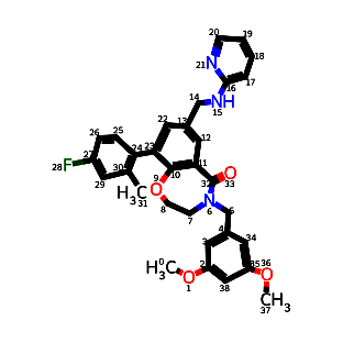 COc1cc(CN2CCOc3c(cc(CNc4ccccn4)cc3-c3ccc(F)cc3C)C2=O)cc(OC)c1